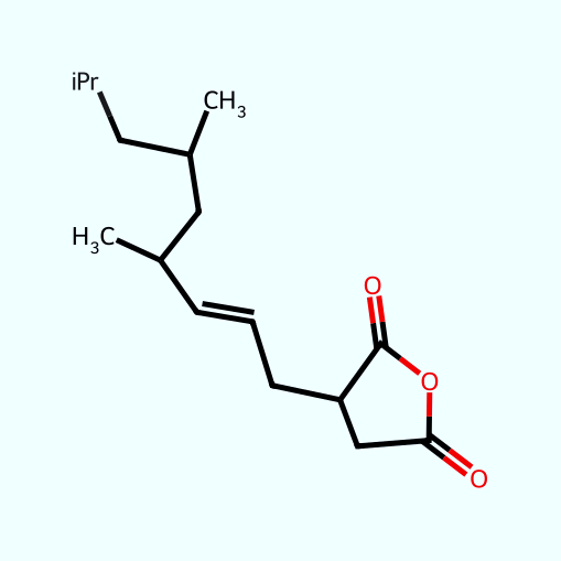 CC(C)CC(C)CC(C)C=CCC1CC(=O)OC1=O